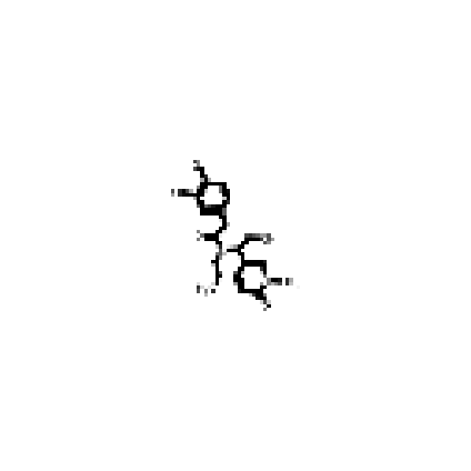 CCCN(C(=O)Cc1ccc(Cl)c(Cl)c1)C(CO)c1ccc(=O)n(C)c1